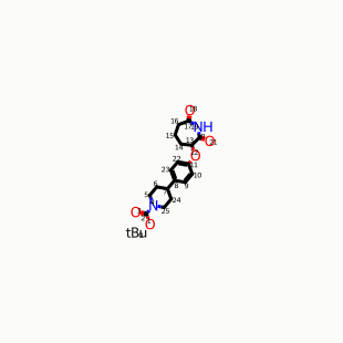 CC(C)(C)OC(=O)N1CCC(c2ccc(OC3CCCC(=O)NC3=O)cc2)CC1